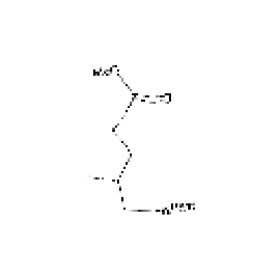 CCCCCCC(C)CCC(=O)OC